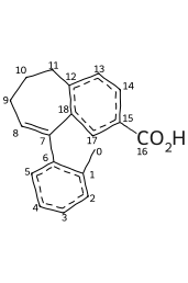 Cc1ccccc1C1=CCCCc2ccc(C(=O)O)cc21